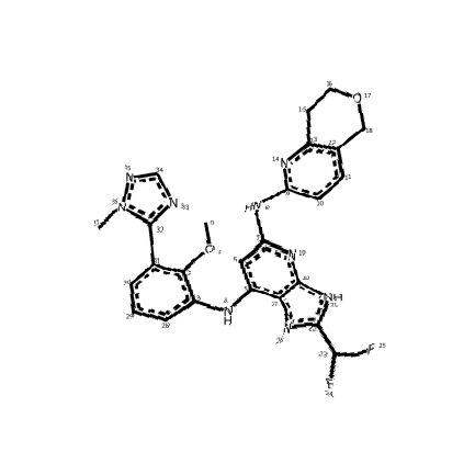 COc1c(Nc2cc(Nc3ccc4c(n3)CCOC4)nc3[nH]c(C(F)F)nc23)cccc1-c1ncnn1C